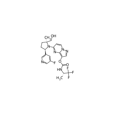 C[C@H](NC(=O)Oc1cnn2ccc(N3[C@@H](c4cncc(F)c4)CC[C@@]3(C)CO)nc12)C(F)(F)F